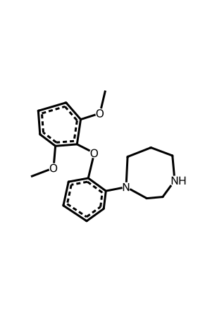 COc1cccc(OC)c1Oc1ccccc1N1CCCNCC1